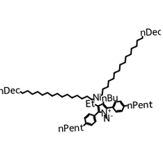 CCCCCCCCCCCCCCCCCCCCCCCC[CH2][Ni][CH2]CCCCCCCCCCCCCCCCCCCCCCCC.CCCCCc1ccc(C2=C(CC)C(CCCC)=C(c3ccc(CCCCC)cc3)[N+]2=[N-])cc1